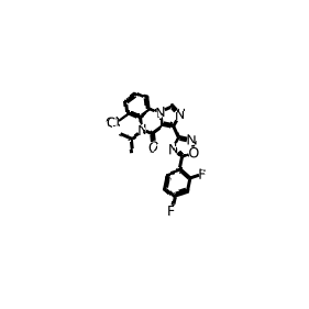 CC(C)n1c(=O)c2c(-c3noc(-c4ccc(F)cc4F)n3)ncn2c2cccc(Cl)c21